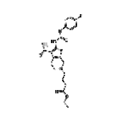 CCOC(=O)CCCN1CCc2c(sc(NC(=O)Nc3ccc(Cl)cc3)c2C(N)=O)C1